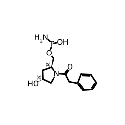 NP(O)OC[C@@H]1C[C@@H](O)CN1C(=O)Cc1ccccc1